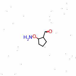 NOC1CCCC1C=O